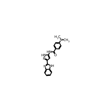 CN(C)c1ccc(C(=O)Nc2cc(-c3nc4ccccc4[nH]3)n[nH]2)cc1